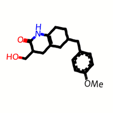 COc1ccc(CC2CCC3=C(C2)CC(CO)C(=O)N3)cc1